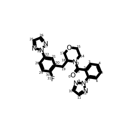 O=C(c1ccccc1-n1nccn1)N1CCOCC1Cc1cc(-n2nccn2)ccc1F